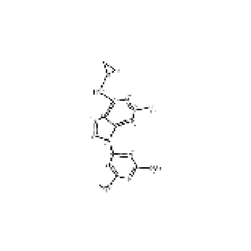 COc1cc(-n2cnc3c(NC4CC4)nc(C(F)(F)F)nc32)nc(OC)n1